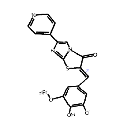 CCCOc1cc(/C=c2\sc3nc(-c4ccncc4)cn3c2=O)cc(Cl)c1O